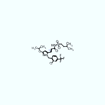 CC(C)CCS(=O)(=O)NC(=O)/C=C/c1cc(OC(C)C)nn1Cc1ccc(C(F)(F)F)cc1Cl